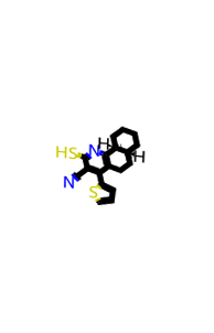 N#Cc1c(S)nc2c(c1-c1cccs1)CC[C@H]1CCCC[C@H]21